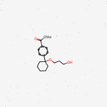 COC(=O)c1ccc(C2(OCCCO)CCCCC2)cc1